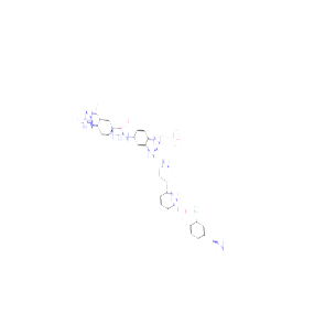 CCc1n[nH]c2ccc(C(=O)Nc3ccc4c(c3)nc(CN3CC=C(c5cccc(OCc6ccc(C#N)cc6F)n5)CC3)n4C[C@@H]3CCO3)cc12